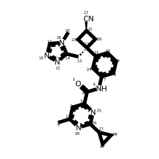 Cc1cc(C(=O)Nc2cccc([C@]3(Cc4nncn4C)C[C@H](C#N)C3)c2)nc(C2CC2)n1